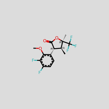 COc1c([C@@H]2C(=O)O[C@@](C)(C(F)(F)F)[C@H]2C)ccc(F)c1F